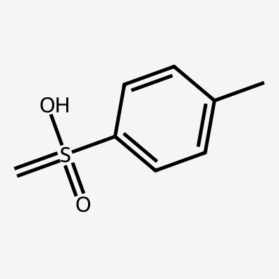 C=S(=O)(O)c1ccc(C)cc1